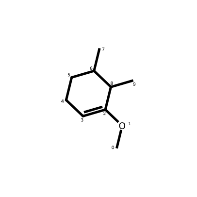 COC1=CCCC(C)C1C